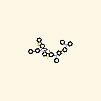 CC1(N(c2ccc(-c3ccccc3)cc2)c2ccc3sc4cc(N(c5ccccc5)c5ccc6c(c5)sc5ccc(N(c7ccccc7)c7ccccc7)cc56)ccc4c3c2)C=c2sc3ccccc3c2=CC1